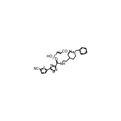 N#Cc1ccc(-c2nc(C(=O)NCCC3CCN(Cc4ccccc4)CC3)no2)s1.O=C(O)/C=C/C(=O)O